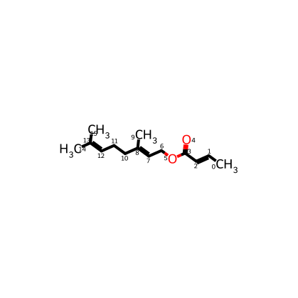 CC=CC(=O)OC/C=C(\C)CCC=C(C)C